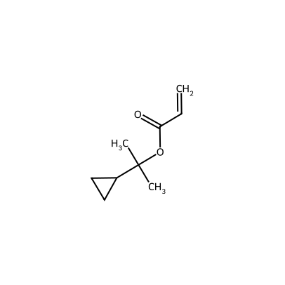 C=CC(=O)OC(C)(C)C1CC1